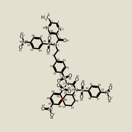 Cc1cnc(C(=O)N(CCc2ccc(S(=O)(=O)N(C(=O)N(C3CCCCC3)S(=O)(=O)c3ccc([N+](=O)[O-])cc3)S(=O)(=O)c3ccc([N+](=O)[O-])cc3)cc2)S(=O)(=O)c2ccc([N+](=O)[O-])cc2)cn1